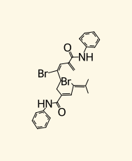 C=C(/C=C(/Br)CC/C(=C\C(Br)=C(C)C)C(=O)Nc1ccccc1)C(=O)Nc1ccccc1